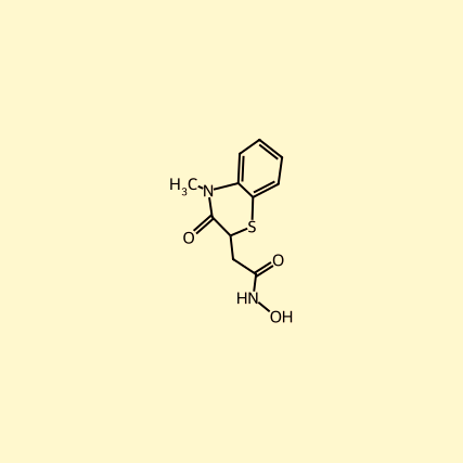 CN1C(=O)C(CC(=O)NO)Sc2ccccc21